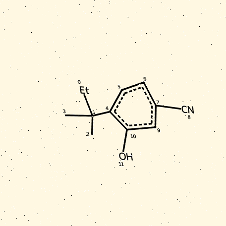 CCC(C)(C)c1ccc(C#N)cc1O